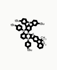 CC(C)(C)c1ccc(N2c3cccc4c3B(c3cc5c6cc(C(C)(C)C)ccc6n6c7ccc(C(C)(C)C)cc7c(c3N4c3ccc(C(C)(C)C)cc3)c56)c3sc4cc5c(cc4c32)-c2ccccc2C5(C)C)cc1